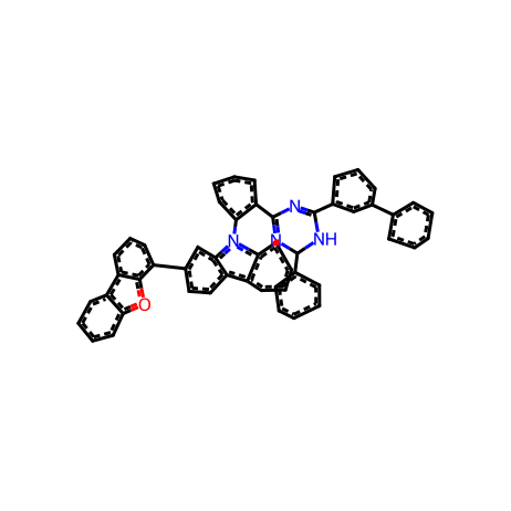 c1ccc(-c2cccc(C3=NC(c4ccccc4-n4c5ccccc5c5ccc(-c6cccc7c6oc6ccccc67)cc54)=NC(c4ccccc4)N3)c2)cc1